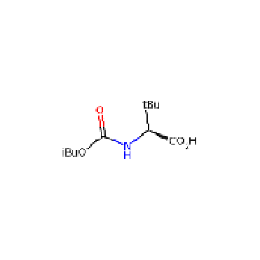 CC(C)COC(=O)N[C@H](C(=O)O)C(C)(C)C